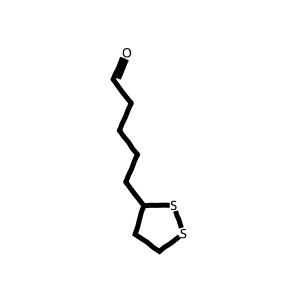 O=CCCCCC1CCSS1